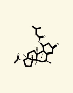 CC(=O)[C@H]1CC[C@H]2[C@@H]3C[C@H](C)C4=CC(=O)CC(OC(=O)CC(C)C)[C@]4(C)[C@H]3CC[C@]12C